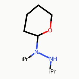 CC(C)NN(C(C)C)C1CCCCO1